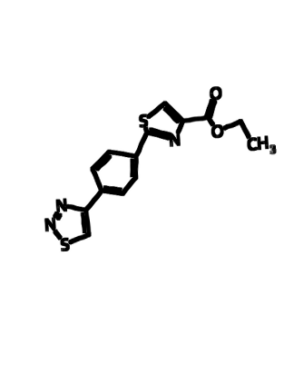 CCOC(=O)c1csc(-c2ccc(-c3csnn3)cc2)n1